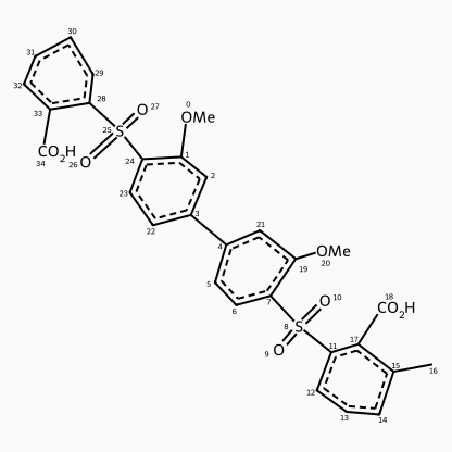 COc1cc(-c2ccc(S(=O)(=O)c3cccc(C)c3C(=O)O)c(OC)c2)ccc1S(=O)(=O)c1ccccc1C(=O)O